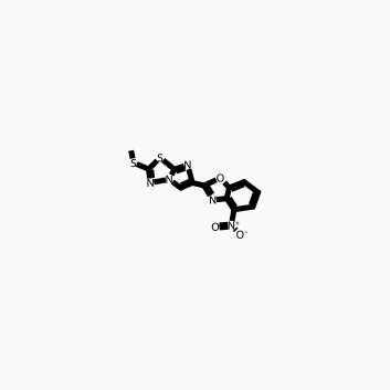 CSc1nn2cc(-c3nc4c([N+](=O)[O-])cccc4o3)nc2s1